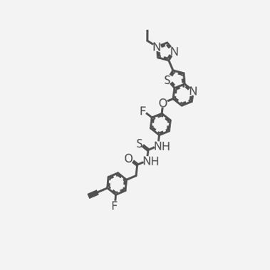 C#Cc1ccc(CC(=O)NC(=S)Nc2ccc(Oc3ccnc4cc(-c5cn(CC)cn5)sc34)c(F)c2)cc1F